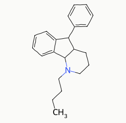 CCCCN1CCCC2C(c3ccccc3)c3ccccc3C21